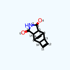 O=C1NC(=O)C2C3C=CC(C4C=CC43)C12